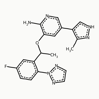 Cc1n[nH]cc1-c1cnc(N)c(OC(C)c2cc(F)ccc2-n2nccn2)c1